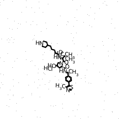 Cc1ncsc1-c1ccc([C@H](C)NC(=O)[C@@H]2C[C@@H](O)CN2C(=O)[C@@H](NC(=O)CCCCC2CCNCC2)C(C)(C)C)cc1.Cl